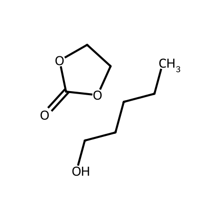 CCCCCO.O=C1OCCO1